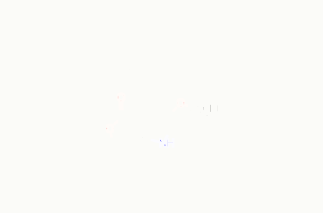 CCOC(=O)OC1=C(C)NC2=C(C(=O)OC(C)C2)C1c1ccccc1C